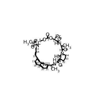 CC(C)[C@@H]1OC(=O)OCCN(S(C)(=O)=O)C/C=C/c2ccc3ccc(nc3c2)[C@@H](C)NC(=O)[C@@H]2CCCN(N2)C(=O)[C@H](C)NC1=O